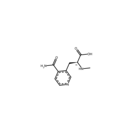 CN[C@@H](Cc1cnccc1C(N)=O)C(=O)O